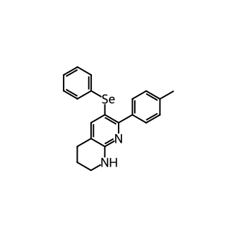 Cc1ccc(-c2nc3c(cc2[Se]c2ccccc2)CCCN3)cc1